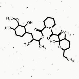 CCC1CCC(C)C(O)(C(=O)C(=O)N2CCCCC2C(=O)OC(C)C(C)CC2CCC(O)C(OC)C2O)O1